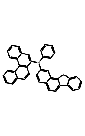 c1ccc(N(c2ccc3ccc4c5ccccc5sc4c3c2)c2cc3ccccc3c3c2ccc2ccccc23)cc1